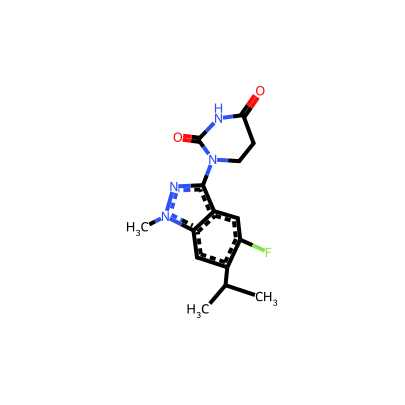 CC(C)c1cc2c(cc1F)c(N1CCC(=O)NC1=O)nn2C